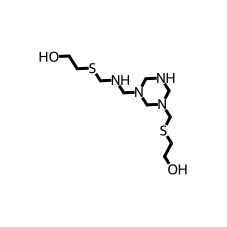 OCCSCNCN1CNCN(CSCCO)C1